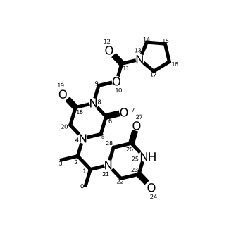 CC(C(C)N1CC(=O)N(COC(=O)N2CCCC2)C(=O)C1)N1CC(=O)NC(=O)C1